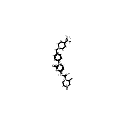 CC1CNCCN1C(=O)Nc1ccn(-c2ccc(CN3CCC([C@H](C)N)CC3)cc2)c(=O)n1